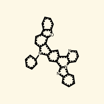 c1ccc(-n2c3cc4c(cc3c3c5oc6ccccc6c5ccc32)c2ncccc2n2c3ccccc3nc42)cc1